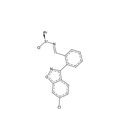 CC(C)[S@+]([O-])N=Cc1ccccc1-c1noc2cc(Cl)ccc12